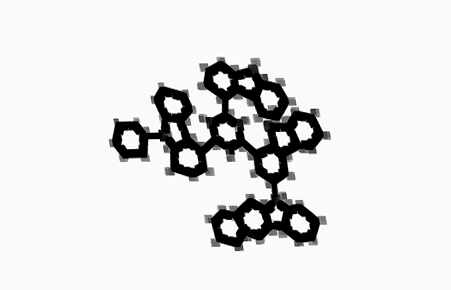 c1ccc(-n2c3ccccc3c3c(-c4nc(-c5cc(-n6c7ccccc7c7cc8ccccc8cc76)cc6c5oc5ccccc56)nc(-c5cccc6oc7ccccc7c56)n4)cccc32)cc1